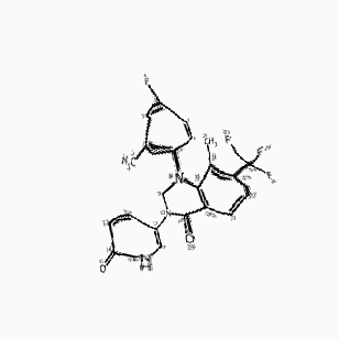 Cc1cc(F)ccc1N1CN(c2ccc(=O)[nH]c2)C(=O)c2ccc(C(F)(F)F)c(C)c21